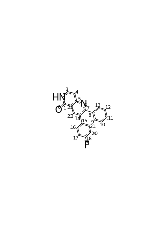 O=c1[nH]ccc2nc(-c3cc[c]cc3)c(-c3ccc(F)cc3)cc12